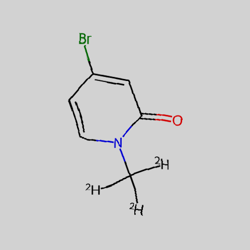 [2H]C([2H])([2H])n1ccc(Br)cc1=O